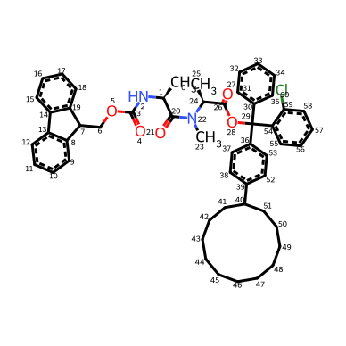 C[C@H](NC(=O)OCC1c2ccccc2-c2ccccc21)C(=O)N(C)[C@@H](C)C(=O)OC(c1ccccc1)(c1ccc(C2CCCCCCCCCCC2)cc1)c1ccccc1Cl